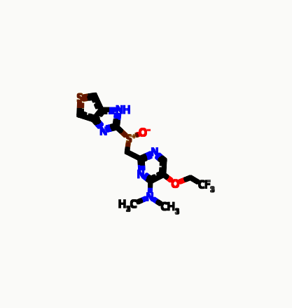 CN(C)c1nc(C[S+]([O-])c2nc3cscc3[nH]2)ncc1OCC(F)(F)F